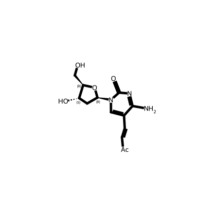 CC(=O)C=Cc1cn([C@H]2C[C@H](O)[C@@H](CO)O2)c(=O)nc1N